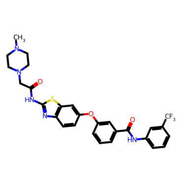 CN1CCN(CC(=O)Nc2nc3ccc(Oc4cccc(C(=O)Nc5cccc(C(F)(F)F)c5)c4)cc3s2)CC1